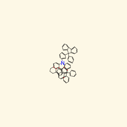 c1ccc(C2(c3cccc(N(c4ccccc4-c4cccc5cccc(C6CCCCC6)c45)c4cccc5c4-c4ccccc4C5(c4ccccc4)c4ccccc4)c3)c3ccccc3-c3ccccc32)cc1